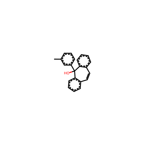 Cc1cccc(C2(O)c3ccccc3C=Cc3ccccc32)c1